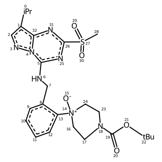 CC(C)c1cnn2c(NCc3ccccc3[N+]3([O-])CCN(C(=O)OC(C)(C)C)CC3)nc(S(C)(=O)=O)nc12